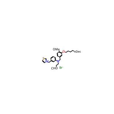 CCCCCCCCCCCCCCOc1cc(CN(CCC=O)c2cccc(C[n+]3ccsc3)c2)ccc1OC.[Br-]